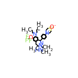 C=C(NC)N1N=C(c2ccc(N3CC[S+]([O-])CC3)cc2)c2cc(N(CCC)CCC)c(OC(F)(F)F)cc2CC1C